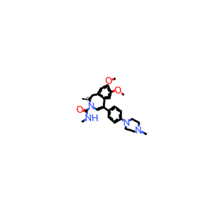 CNC(=O)N1C=C(c2ccc(N3CCN(C)CC3)cc2)c2cc(OC)c(OC)cc2C[C@@H]1C